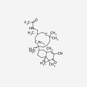 CC(=O)C[C@@H]1[C@@]2(C)C=C(C#N)C(=O)C(C)(C)[C@@H]2CC[C@@]1(C)[C@@]1(C)CCCC(C)(C)CC[C@](C)(CNC(=O)C(F)(F)F)CC1